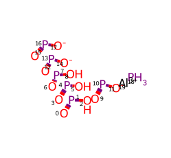 O=PO.O=PO.O=PO.O=P[O-].O=P[O-].O=P[O-].P.[Al+3]